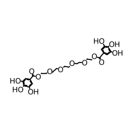 O=C(OCCOCCOCCOCCOCCOC(=O)c1cc(O)c(O)c(O)c1)c1cc(O)c(O)c(O)c1